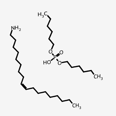 CCCCCCCC/C=C\CCCCCCCCN.CCCCCCOP(=O)(O)OCCCCCC